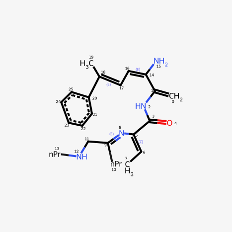 C=C(NC(=O)C(=C/C)/N=C(\CCC)CNCCC)/C(N)=C\C=C(/C)c1ccccc1